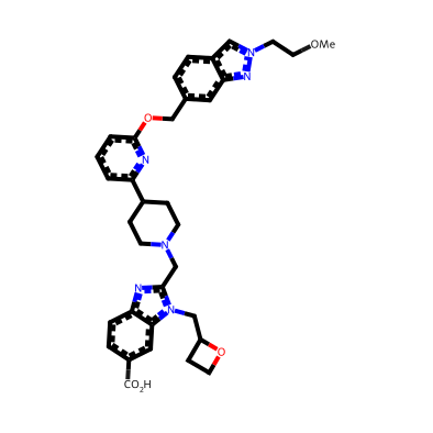 COCCn1cc2ccc(COc3cccc(C4CCN(Cc5nc6ccc(C(=O)O)cc6n5CC5CCO5)CC4)n3)cc2n1